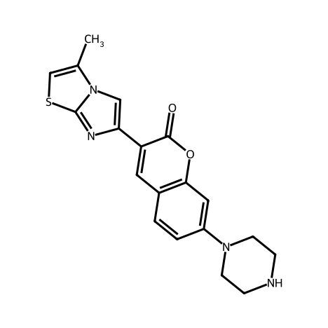 Cc1csc2nc(-c3cc4ccc(N5CCNCC5)cc4oc3=O)cn12